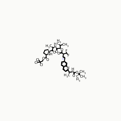 CC(NC(=O)C(OC(=O)C(/C=C/c1ccc2ccc([C@@H](C)NC(=O)OC(C)(C)C)nc2c1)C(F)F)C(C)C)C(=O)N1CCCC(C(=O)OCC(Cl)(Cl)Cl)N1